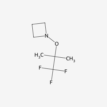 CC(C)(ON1CCC1)C(F)(F)F